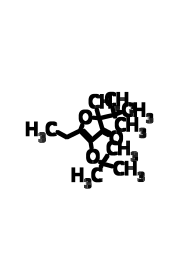 CCC1=C(OC(C)(C)C)C(=O)C(C)(C(C)(C)C)O1